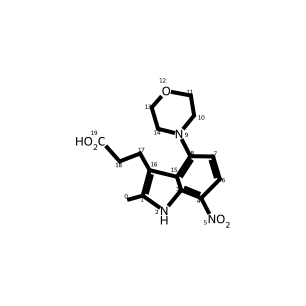 Cc1[nH]c2c([N+](=O)[O-])ccc(N3CCOCC3)c2c1CCC(=O)O